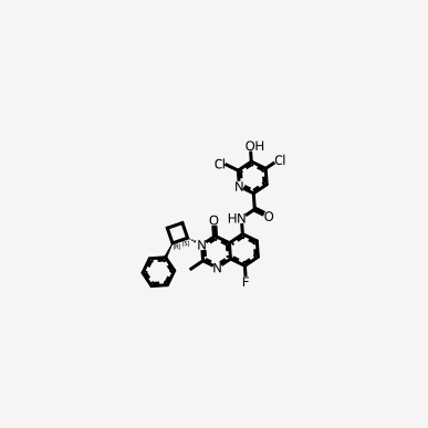 Cc1nc2c(F)ccc(NC(=O)c3cc(Cl)c(O)c(Cl)n3)c2c(=O)n1[C@H]1CC[C@@H]1c1ccccc1